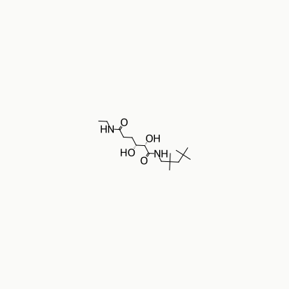 CCNC(=O)CC[C@@H](O)[C@H](O)C(=O)NCC(C)(C)CC(C)(C)C